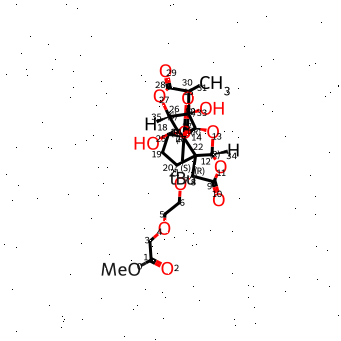 COC(=O)COCCO[C@H]1C(=O)O[C@H]2O[C@]34C(=O)OC5C[C@@H](C(C)(C)C)C21[C@@]53[C@@H](O)[C@@H]1OC(=O)C(C)[C@@]14O